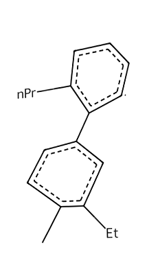 CCCc1ccc[c]c1-c1ccc(C)c(CC)c1